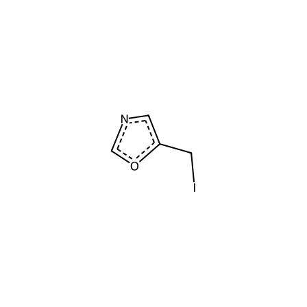 ICc1cnco1